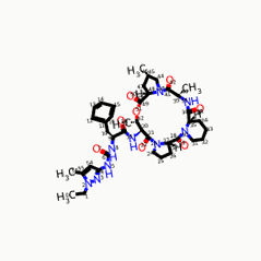 CCn1nc(NC(=O)N[C@@H](Cc2ccccc2)C(=O)N[C@@H]2C(=O)N3CCC[C@H]3C(=O)N3CCCC[C@H]3C(=O)N[C@@H](C)C(=O)N3C[C@H](C)C[C@H]3C(=O)O[C@H]2C)cc1C